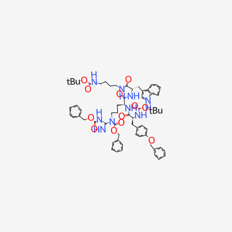 CC(C)(C)OC(=O)NCCCCNC(=O)[C@H](Cc1c[nH]c2ccccc12)NC(=O)[C@H](CCCN(C(=N)NC(=O)OCc1ccccc1)C(=O)OCc1ccccc1)NC(=O)[C@H](Cc1ccc(OCc2ccccc2)cc1)NC(=O)OC(C)(C)C